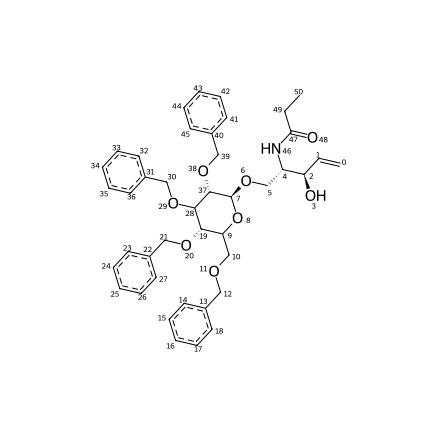 C=C[C@@H](O)[C@H](CO[C@H]1OC(COCc2ccccc2)[C@H](OCc2ccccc2)C(OCc2ccccc2)[C@@H]1OCc1ccccc1)NC(=O)CC